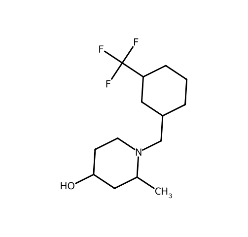 CC1CC(O)CCN1CC1CCCC(C(F)(F)F)C1